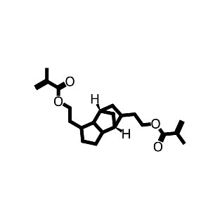 C=C(C)C(=O)OCCC1CCC2C1[C@@H]1CC(CCOC(=O)C(=C)C)[C@H]2C1